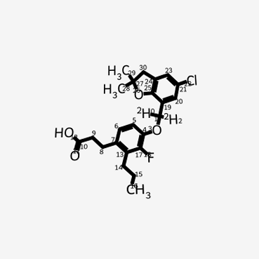 [2H]C([2H])(Oc1ccc(CCC(=O)O)c(CCC)c1F)c1cc(Cl)cc2c1OC(C)(C)C2